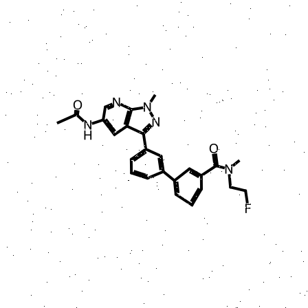 CC(=O)Nc1cnc2c(c1)c(-c1cccc(-c3cccc(C(=O)N(C)CCF)c3)c1)nn2C